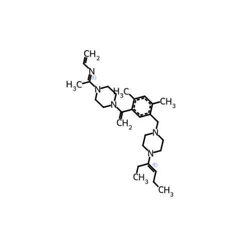 C=C/N=C(\C)N1CCN(C(=C)c2cc(CN3CCN(/C(=C/CC)CC)CC3)c(C)cc2C)CC1